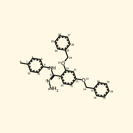 Cc1ccc(NC(=NN)c2ccc(OCc3ccccc3)cc2OCc2ccccc2)cc1